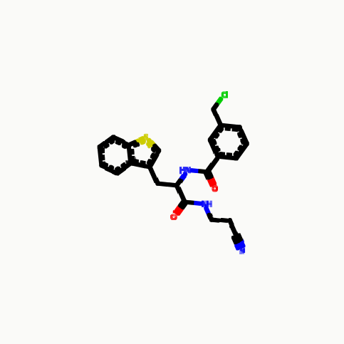 N#CCCNC(=O)C(Cc1csc2ccccc12)NC(=O)c1cccc(CCl)c1